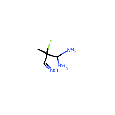 CC(F)(C=N)C(N)N